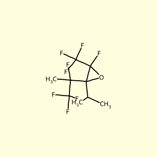 CC(C)C1(C(C)(F)C(F)(F)F)OC1(F)C(F)(F)F